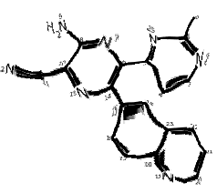 Cc1nccc(-c2nc(N)c(C#N)nc2-c2ccc3ncccc3c2)n1